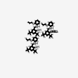 CCCSc1ccccc1NCc1cc(C(C)(C)C)cc(C(C)(C)C)c1O.CCCSc1ccccc1NCc1cc(C(C)(C)C)cc(C(C)(C)C)c1O.CCCSc1ccccc1NCc1cc(C(C)(C)C)cc(C(C)(C)C)c1O.Cl.Cl.Cl